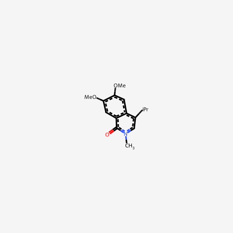 COc1cc2c(C(C)C)cn(C)c(=O)c2cc1OC